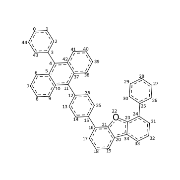 c1ccc(-c2c3ccccc3c(-c3ccc(-c4cccc5c4oc4c(-c6ccccc6)cccc45)cc3)c3ccccc23)cc1